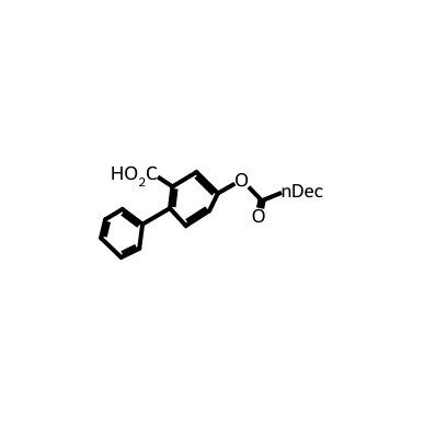 CCCCCCCCCCC(=O)Oc1ccc(-c2ccccc2)c(C(=O)O)c1